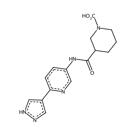 O=C(Nc1ccc(-c2cn[nH]c2)nc1)C1CCCN(C(=O)O)C1